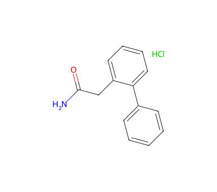 Cl.NC(=O)Cc1ccccc1-c1ccccc1